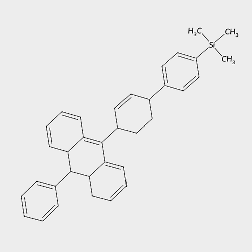 C[Si](C)(C)c1ccc(C2C=CC(C3=C4C=CC=CC4C(c4ccccc4)C4CC=CC=C34)CC2)cc1